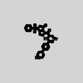 CC(C)CC(NC(=O)c1ccc(N2CCNCC2)cc1)C(=O)N1CCC2C1C(=O)CN2S(=O)(=O)c1ccccc1